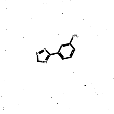 Nc1cccc(C2=NCN=N2)c1